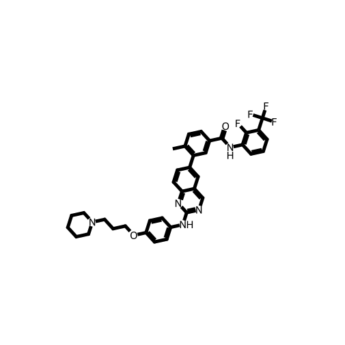 Cc1ccc(C(=O)Nc2cccc(C(F)(F)F)c2F)cc1-c1ccc2nc(Nc3ccc(OCCCN4CCCCC4)cc3)ncc2c1